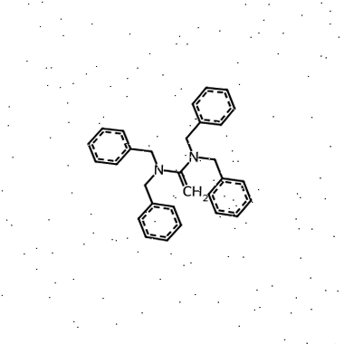 C=C(N(Cc1ccccc1)Cc1ccccc1)N(Cc1ccccc1)Cc1ccccc1